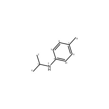 C[C](C)Nc1ccc(C)cc1